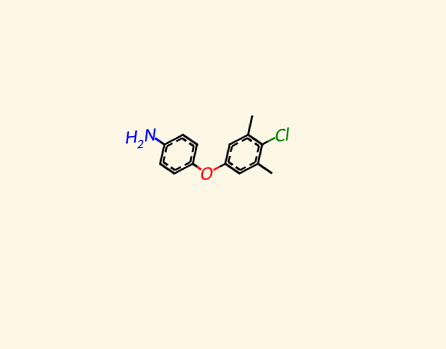 Cc1cc(Oc2ccc(N)cc2)cc(C)c1Cl